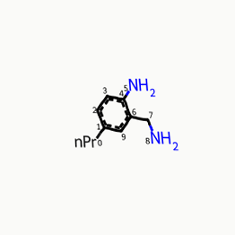 CCCc1ccc(N)c(CN)c1